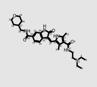 CCN(CC)CCNC(=O)c1c(C)[nH]c(/C=C2\C(=O)Nc3cc(C(=O)NCC4CCOCC4)ccc32)c1C